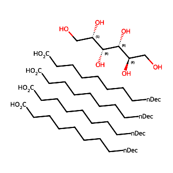 CCCCCCCCCCCCCCCCCC(=O)O.CCCCCCCCCCCCCCCCCC(=O)O.CCCCCCCCCCCCCCCCCC(=O)O.CCCCCCCCCCCCCCCCCC(=O)O.OC[C@@H](O)[C@@H](O)[C@H](O)[C@@H](O)CO